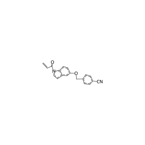 C=CC(=O)n1ccc2cc(OCc3ccc(C#N)cc3)ccc21